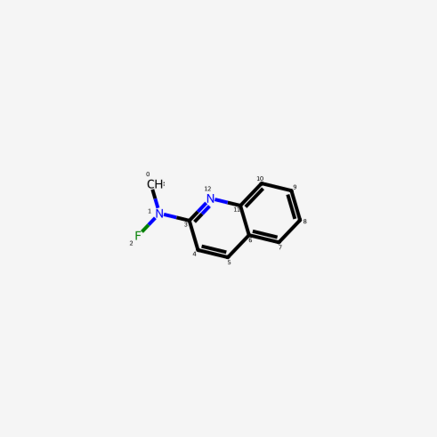 [CH]N(F)c1ccc2ccccc2n1